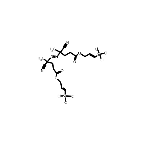 CC(C#N)(CCC(=O)OC/C=C/[Si](Cl)(Cl)Cl)/N=N/C(C)(C#N)CCC(=O)OC/C=C/[Si](Cl)(Cl)Cl